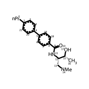 CCCc1ccc(-c2ccc(C(=O)N[C@@H](CNC)[C@@H](C)O)cc2)cc1